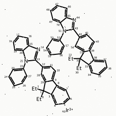 CCC1(CC)c2ccccc2-c2ccc(-c3nc4ccccc4n3-c3ccccc3)cc21.CCC1(CC)c2ccccc2-c2ccc(-c3nc4ccccc4n3-c3ccccc3)cc21.[Ir+3]